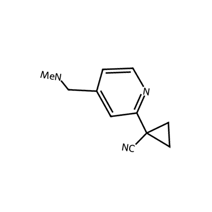 CNCc1ccnc(C2(C#N)CC2)c1